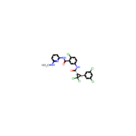 O=C(O)Nc1cccc(NC(=O)c2cc(NC(=O)[C@@H]3[C@@H](c4cc(Cl)cc(Cl)c4)C3(Cl)Cl)ccc2Cl)n1